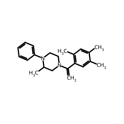 C=C(c1cc(C)c(C)cc1C)N1CCN(c2ccccc2)C(C)C1